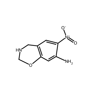 Nc1cc2c(cc1[N+](=O)[O-])CNCO2